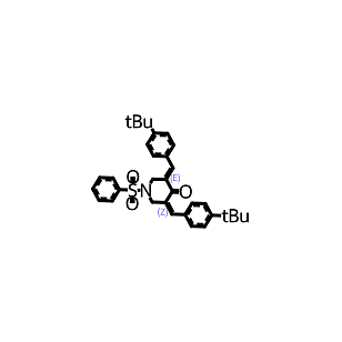 CC(C)(C)c1ccc(/C=C2/CN(S(=O)(=O)c3ccccc3)C/C(=C\c3ccc(C(C)(C)C)cc3)C2=O)cc1